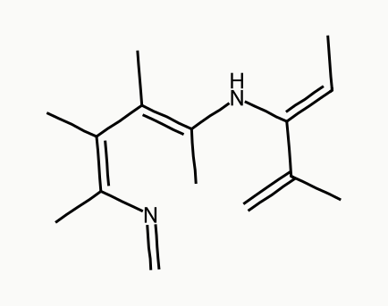 C=N/C(C)=C(C)\C(C)=C(/C)N/C(=C\C)C(=C)C